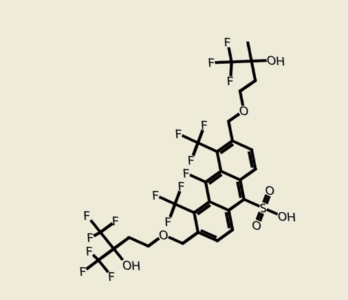 CC(O)(CCOCc1ccc2c(S(=O)(=O)O)c3ccc(COCCC(O)(C(F)(F)F)C(F)(F)F)c(C(F)(F)F)c3c(F)c2c1C(F)(F)F)C(F)(F)F